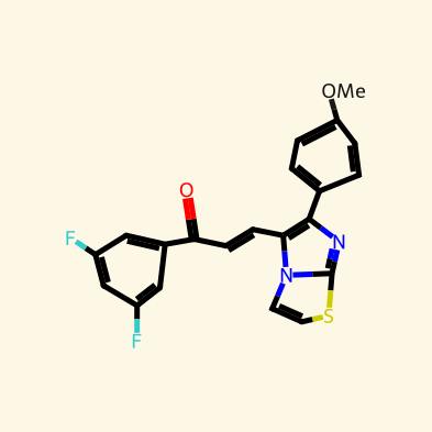 COc1ccc(-c2nc3sccn3c2C=CC(=O)c2cc(F)cc(F)c2)cc1